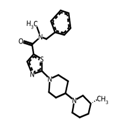 C[C@@H]1CCCN(C2CCN(c3ncc(C(=O)N(C)Cc4ccccc4)s3)CC2)C1